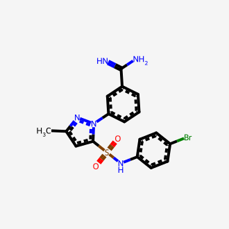 Cc1cc(S(=O)(=O)Nc2ccc(Br)cc2)n(-c2cccc(C(=N)N)c2)n1